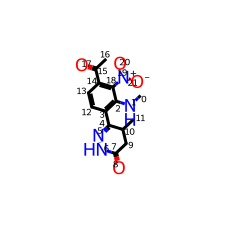 CNc1c(C2=NNC(=O)CC2C)ccc(C(C)=O)c1[N+](=O)[O-]